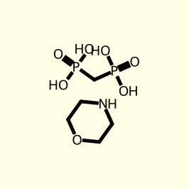 C1COCCN1.O=P(O)(O)CP(=O)(O)O